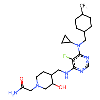 NC(=O)CN1CCC(CNc2ncnc(N(CC3CCC(C(F)(F)F)CC3)C3CC3)c2F)C(O)C1